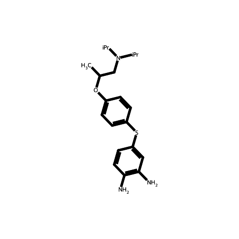 CC(CN(C(C)C)C(C)C)Oc1ccc(Sc2ccc(N)c(N)c2)cc1